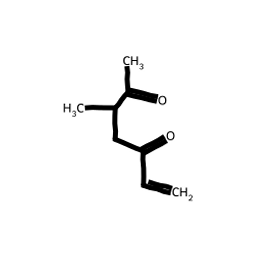 C=CC(=O)CC(C)C(C)=O